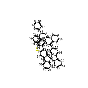 c1ccc(-c2cc3c4ccccc4c(-c4ccc5c(c4)C4(c6ccccc6-5)c5ccccc5-c5cc6sc7ccccc7c6cc54)cc3c3ccccc23)cc1